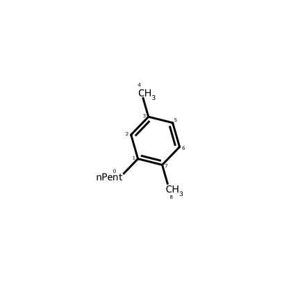 CC[CH]CCc1cc(C)ccc1C